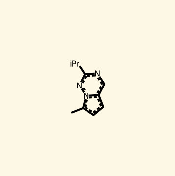 Cc1ccc2cnc(C(C)C)nn12